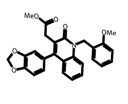 COC(=O)Cc1c(-c2ccc3c(c2)OCO3)c2ccccc2n(Cc2ccccc2OC)c1=O